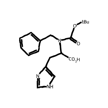 CC(C)(C)OC(=O)N(Cc1ccccc1)C(Cc1c[nH]cn1)C(=O)O